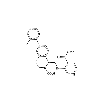 COC(=O)c1ccncc1NC[C@@H]1c2ccc(-c3ccccc3C)cc2CCN1C(=O)O